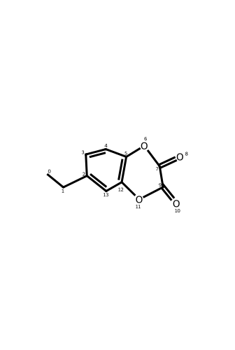 CCc1ccc2oc(=O)c(=O)oc2c1